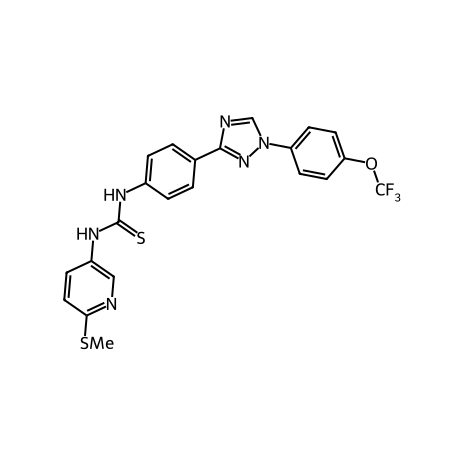 CSc1ccc(NC(=S)Nc2ccc(-c3ncn(-c4ccc(OC(F)(F)F)cc4)n3)cc2)cn1